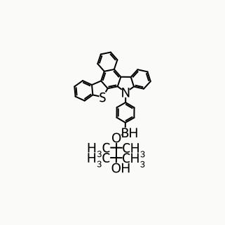 CC(C)(O)C(C)(C)OBc1ccc(-n2c3ccccc3c3c4ccccc4c4c5ccccc5sc4c32)cc1